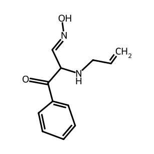 C=CCNC(C=NO)C(=O)c1ccccc1